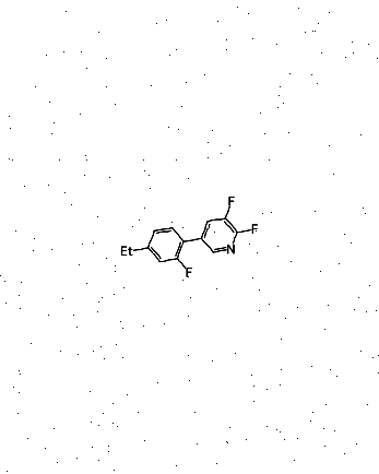 CCc1ccc(-c2cnc(F)c(F)c2)c(F)c1